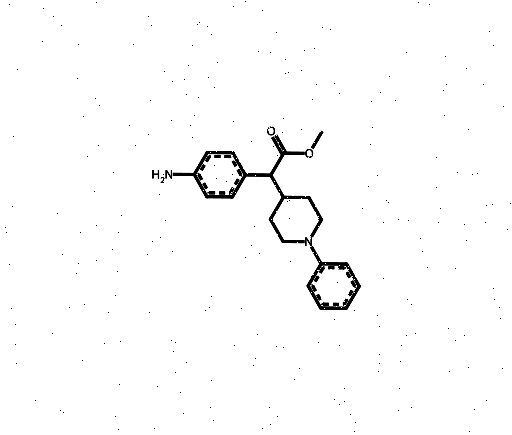 COC(=O)C(c1ccc(N)cc1)C1CCN(c2ccccc2)CC1